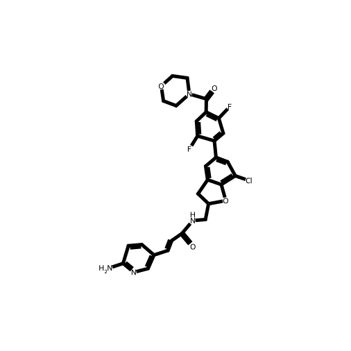 Nc1ccc(/C=C/C(=O)NCC2Cc3cc(-c4cc(F)c(C(=O)N5CCOCC5)cc4F)cc(Cl)c3O2)cn1